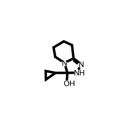 OC1(C2CC2)NN=C2CCCCN21